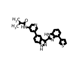 CC(C)C(=O)Nc1cncc(-c2ccc3[nH]nc(-c4nc5c(-c6ccsc6)cccc5[nH]4)c3c2)c1